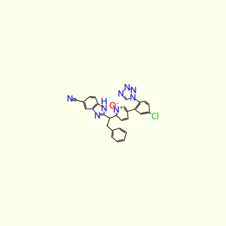 N#Cc1ccc2[nH]c(C(Cc3ccccc3)c3ccc(-c4cc(Cl)ccc4-n4cnnn4)c[n+]3[O-])nc2c1